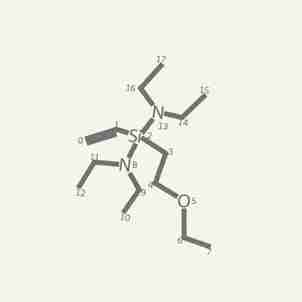 C=C[Si](CCOCC)(N(CC)CC)N(CC)CC